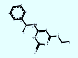 CCOC(=O)/C=C(\NC(C)=O)N[C@@H](C)c1ccccc1